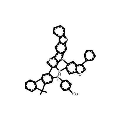 CC(C)(C)c1ccc(Nc2cc3c(cc2-c2ccc4c5cc6c(cc5n5c4c2Bc2cc4occ(-c7ccccc7)c4cc2-5)sc2ccccc26)-c2ccccc2C3(C)C)cc1